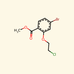 COC(=O)c1ccc(Br)cc1OCCCl